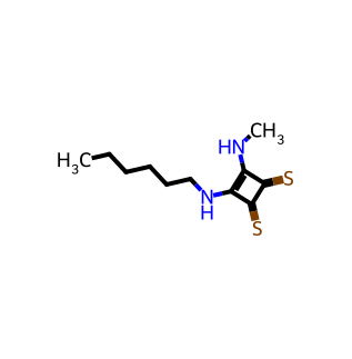 CCCCCCNc1c(NC)c(=S)c1=S